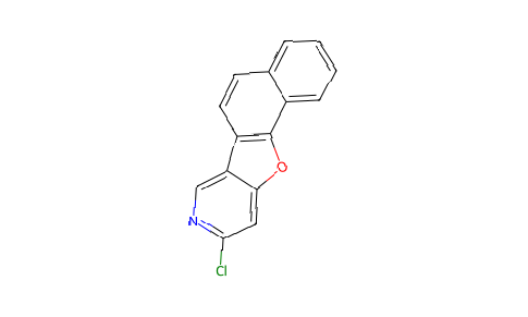 Clc1cc2oc3c4ccccc4ccc3c2cn1